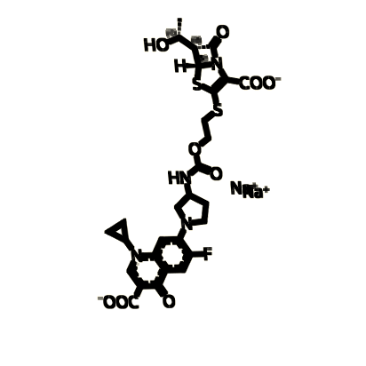 C[C@@H](O)[C@@H]1C(=O)N2C(C(=O)[O-])=C(SCCOC(=O)NC3CCN(c4cc5c(cc4F)c(=O)c(C(=O)[O-])cn5C4CC4)C3)S[C@H]12.[Na+].[Na+]